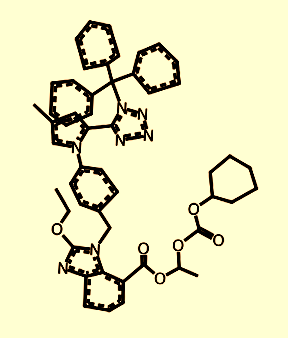 CCOc1nc2cccc(C(=O)OC(C)OC(=O)OC3CCCCC3)c2n1Cc1ccc(-n2cc(C)cc2-c2nnnn2C(c2ccccc2)(c2ccccc2)c2ccccc2)cc1